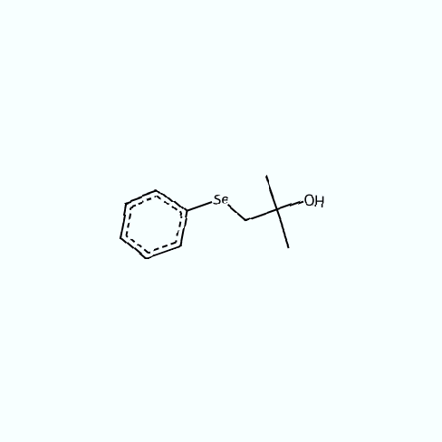 CC(C)(O)C[Se]c1ccccc1